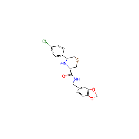 O=C(NCc1ccc2c(c1)OCO2)[C@@H]1[CH]SCC(c2ccc(Cl)cc2)N1